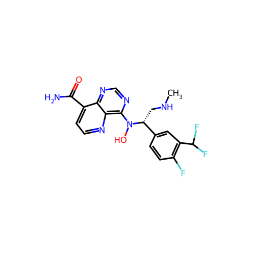 CNC[C@H](c1ccc(F)c(C(F)F)c1)N(O)c1ncnc2c(C(N)=O)ccnc12